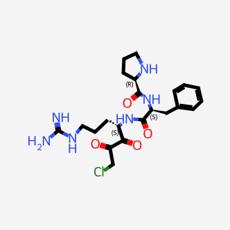 N=C(N)NCCC[C@H](NC(=O)[C@H](Cc1ccccc1)NC(=O)[C@H]1CCCN1)C(=O)C(=O)CCl